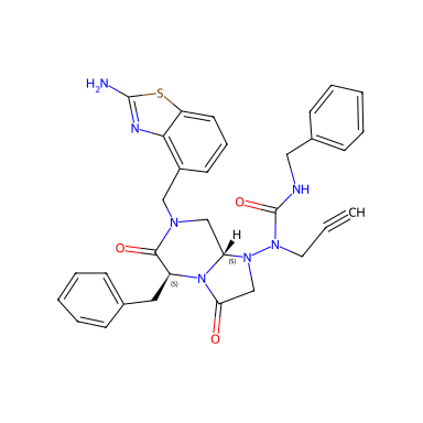 C#CCN(C(=O)NCc1ccccc1)N1CC(=O)N2[C@@H](Cc3ccccc3)C(=O)N(Cc3cccc4sc(N)nc34)C[C@@H]21